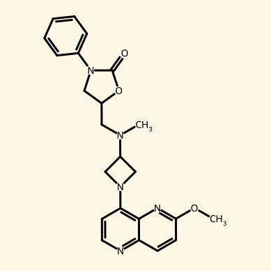 COc1ccc2nccc(N3CC(N(C)CC4CN(c5ccccc5)C(=O)O4)C3)c2n1